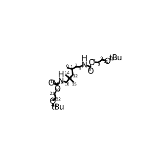 CC(CCNC(=O)OCCOC(C)(C)C)CC(C)(C)CNC(=O)OCCOC(C)(C)C